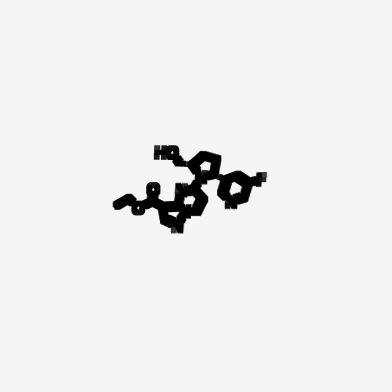 CCOC(=O)c1cnn2ccc(N3[C@H](CO)CC[C@@H]3c3cncc(F)c3)nc12